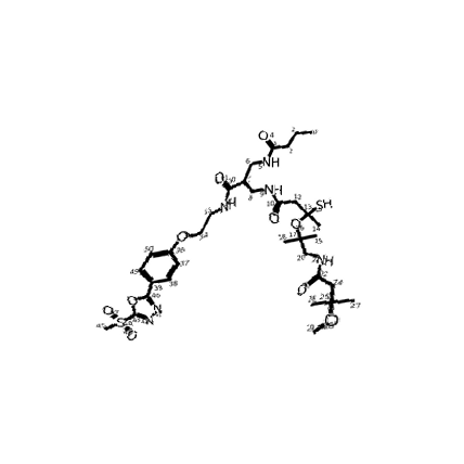 CCCC(=O)NCC(CNC(=O)CC(C)(S)OC(C)(C)CNC(=O)CC(C)(C)OC)C(=O)NCCOc1ccc(-c2nnc(S(C)(=O)=O)o2)cc1